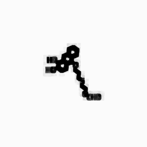 O=COCCSCCCOc1c2ccccc2cc2c(O)c(O)ccc12